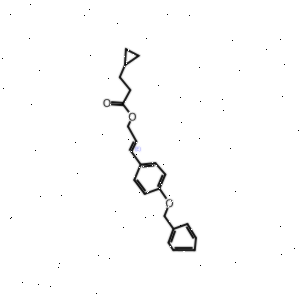 O=C(CCC1CC1)OC/C=C/c1ccc(OCc2ccccc2)cc1